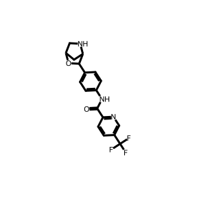 O=C(Nc1ccc(C2OC3CNC2C3)cc1)c1ccc(C(F)(F)F)cn1